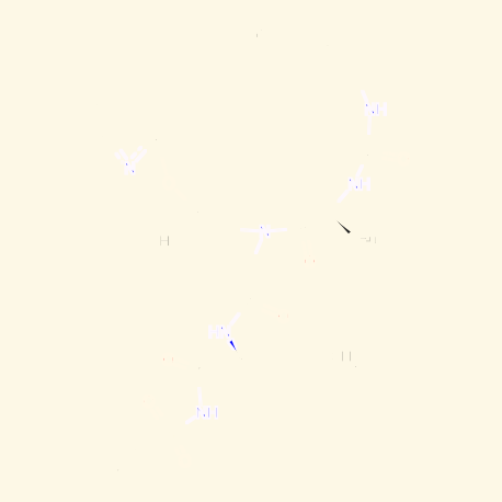 C=C[C@@H]1C[C@]1(NC(=O)[C@@H]1C[C@@H]2CN1C(=O)[C@H](C(C)(C)C)NC(=O)NCCCCCc1ccc3ccnc(c3c1)O2)C(=O)NS(=O)(=O)C1CC1